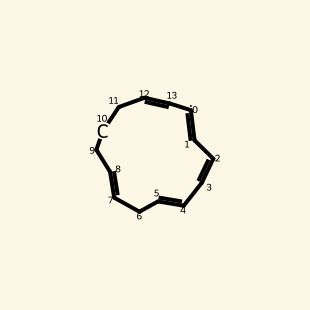 [C]1=C/C=C\C=C\C/C=C/CCC\C=C/1